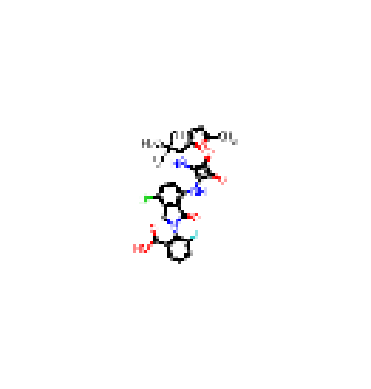 Cc1ccc([C@H](Nc2c(Nc3ccc(Cl)c4c3C(=O)N(c3c(F)cccc3C(=O)O)C4)c(=O)c2=O)C(C)(C)C)o1